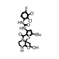 CC(C)(C)c1cc(NC(=O)Nc2ccc(F)c(Cl)c2Cl)c(C(=O)N2CCNC(=O)C2(C)CCO)s1